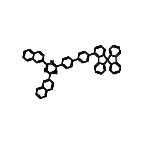 c1ccc2c(c1)-c1ccccc1C21c2ccccc2-c2c(-c3ccc(-c4ccc(-c5nc(-c6ccc7ccccc7c6)nc(-c6ccc7ccccc7c6)n5)cc4)cc3)cccc21